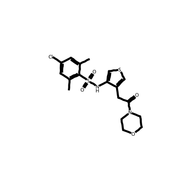 Cc1cc(Cl)cc(C)c1S(=O)(=O)Nc1cscc1CC(=O)N1CCOCC1